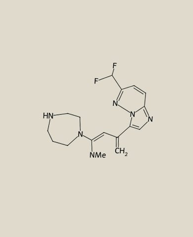 C=C(/C=C(\NC)N1CCCNCC1)c1cnc2ccc(C(F)F)nn12